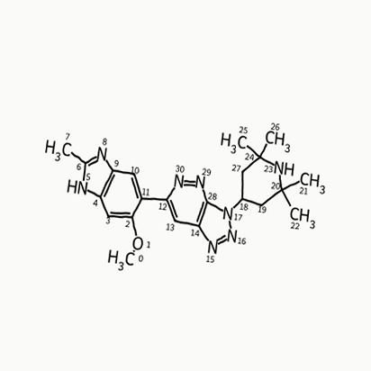 COc1cc2[nH]c(C)nc2cc1-c1cc2nnn(C3CC(C)(C)NC(C)(C)C3)c2nn1